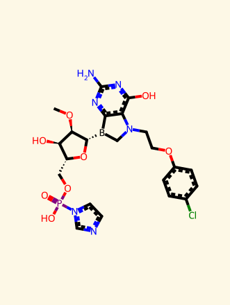 CO[C@@H]1[C@H](O)[C@@H](COP(=O)(O)n2ccnc2)O[C@H]1B1CN(CCOc2ccc(Cl)cc2)c2c(O)nc(N)nc21